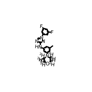 [2H]C1([2H])OC([2H])([2H])C([2H])([2H])N(c2cc(C)cc(Nc3ncn(-c4cc(F)cc(F)c4)n3)c2)C1([2H])[2H]